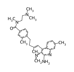 C=Nc1c(N)nc2cc(C)ccc2c1/C=C(\C)CCc1ccc(C(=O)N(C)CCN(C)C)cc1C